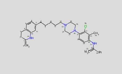 C=C1CCc2ccc(CCCCCN3CCN(c4ccc(NC(=C)C(C)C)c(C)c4Cl)CC3)cc2N1